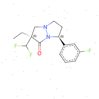 CC[C@]1(C(F)F)CN2CC[C@@H](c3cccc(F)c3)N2C1=O